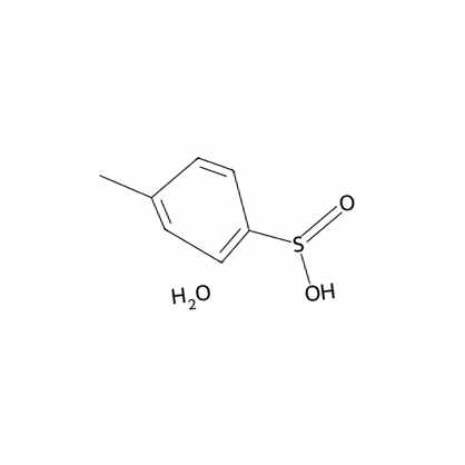 Cc1ccc(S(=O)O)cc1.O